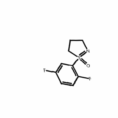 O=S1(c2cc(F)ccc2F)=NCCC1